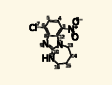 O=[N+]([O-])c1ccc(Cl)c2nc3n(c12)CCCCN3